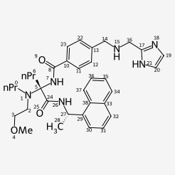 CCCN(CCOC)[C@](CCC)(NC(=O)c1ccc(CNCc2ncc[nH]2)cc1)C(=O)N[C@@H](C)c1cccc2ccccc12